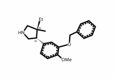 CC[C@]1(C)CNC[C@H]1c1ccc(OC)c(OCc2ccccc2)c1